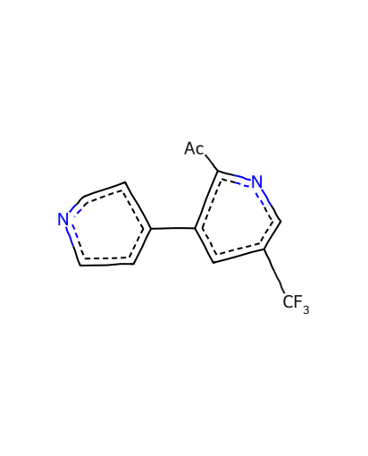 CC(=O)c1ncc(C(F)(F)F)cc1-c1ccncc1